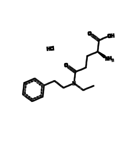 CCN(CCc1ccccc1)C(=O)CC[C@H](N)C(=O)O.Cl